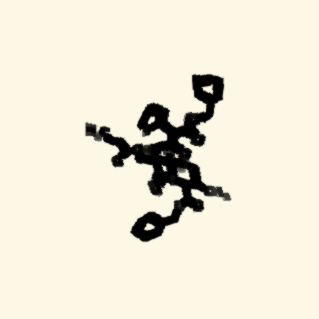 CCCC(=O)OCC1(NC(=O)C(C(=O)OCc2ccccc2)c2cccs2)C(=O)N2C(C(=O)OCc3ccccc3)C(C)=CS[C@H]21